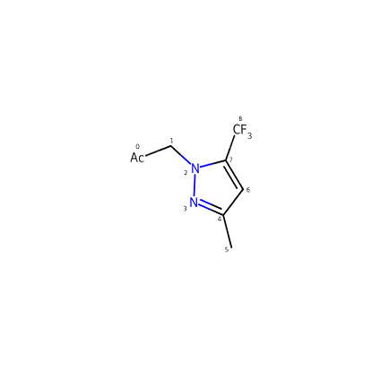 CC(=O)Cn1nc(C)cc1C(F)(F)F